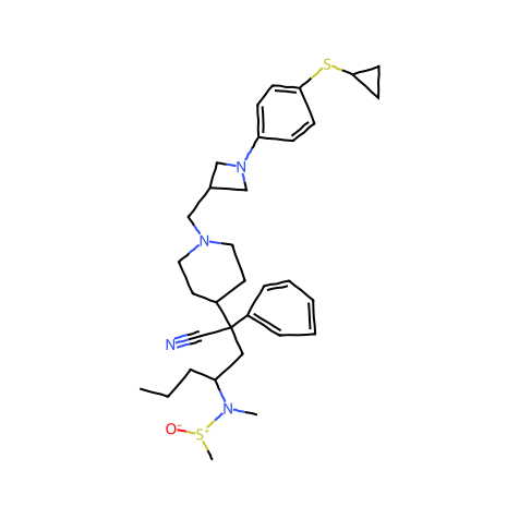 CCCC(CC(C#N)(c1ccccc1)C1CCN(CC2CN(c3ccc(SC4CC4)cc3)C2)CC1)N(C)[S+](C)[O-]